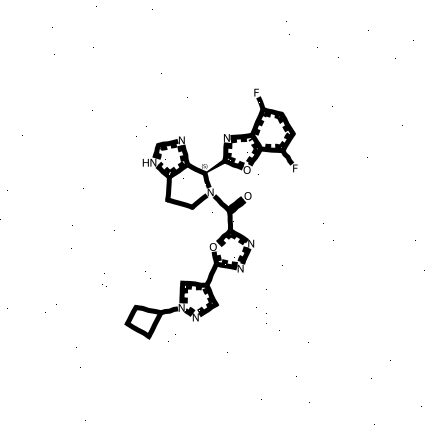 O=C(c1nnc(-c2cnn(C3CCC3)c2)o1)N1CCc2[nH]cnc2[C@H]1c1nc2c(F)ccc(F)c2o1